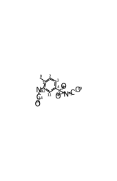 Cc1ccc(S(=O)(=O)N=C=O)cc1N=C=O